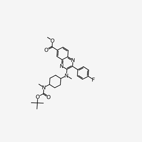 COC(=O)c1ccc2nc(-c3ccc(F)cc3)c(N(C)C3CCC(N(C)C(=O)OC(C)(C)C)CC3)nc2c1